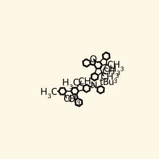 Cc1ccc(-c2cc3c(c4c2oc2ccccc24)-c2ccc(N(c4ccc5c(c4)C(C)(C)c4c6c(c7oc8ccccc8c7c4-5)-c4ccccc4C6(C)C)c4ccccc4C(C)(C)C)cc2C3(C)C)c(C)c1